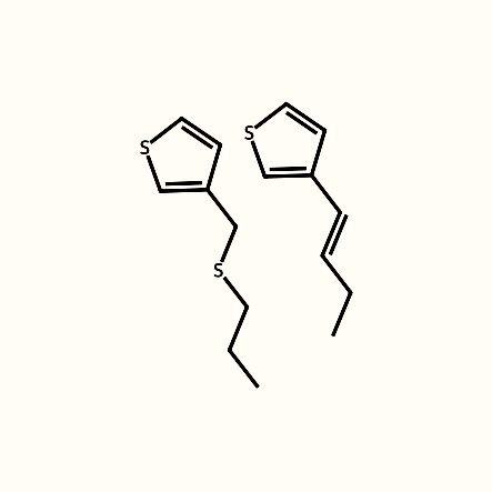 CCC=Cc1ccsc1.CCCSCc1ccsc1